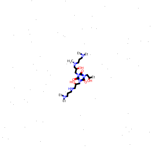 CCC(O)Cn1c(=O)n(CC(O)CNCCCN(CC)CC)c(=O)n(CC(O)CN(C)CCCN(CC)CC)c1=O